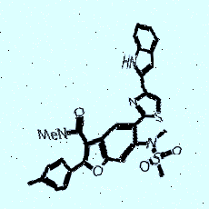 CNC(=O)c1c(-c2ccc(C)cc2)oc2cc(N(C)S(C)(=O)=O)c(-c3nc(-c4cc5ccccc5[nH]4)cs3)cc12